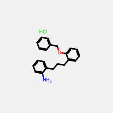 Cl.Nc1ccccc1CCCc1ccccc1OCc1ccccc1